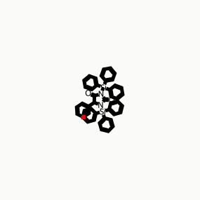 O=C1C(c2ccccc2)N([Si](c2ccccc2)(c2ccccc2)c2ccccc2)C(=O)N1[Si](c1ccccc1)(c1ccccc1)c1ccccc1